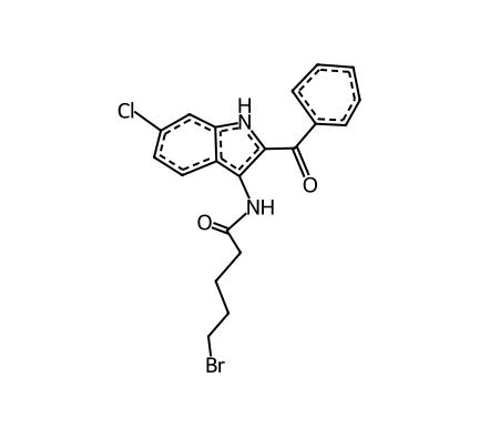 O=C(CCCCBr)Nc1c(C(=O)c2ccccc2)[nH]c2cc(Cl)ccc12